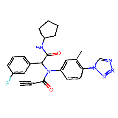 C#CC(=O)N(c1ccc(-n2cnnn2)c(C)c1)C(C(=O)NC1CCCC1)c1cccc(F)c1